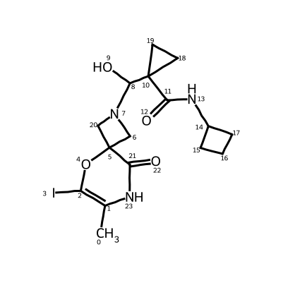 CC1=C(I)OC2(CN(C(O)C3(C(=O)NC4CCC4)CC3)C2)C(=O)N1